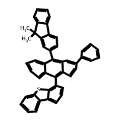 CC1(C)c2ccccc2-c2ccc(-c3c4ccccc4c(-c4cccc5c4sc4ccccc45)c4ccc(-c5ccccc5)cc34)cc21